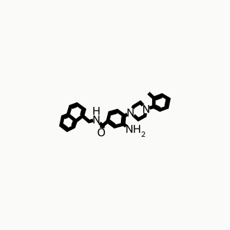 Cc1ccccc1N1CCN(c2ccc(C(=O)NCc3cccc4ccccc34)cc2N)CC1